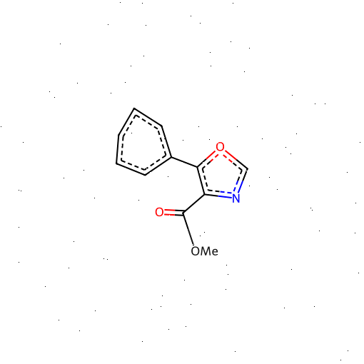 COC(=O)c1ncoc1-c1ccccc1